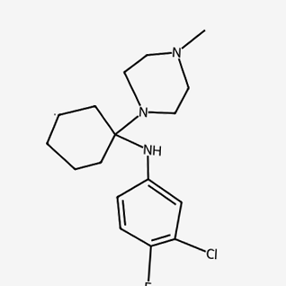 CN1CCN(C2(Nc3ccc(F)c(Cl)c3)C[CH]CCC2)CC1